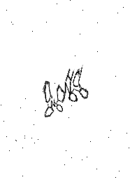 O=C(Cc1ccccc1Cl)Nc1ccc(C(=O)N2Cc3ccccc3-c3ccccc32)cc1